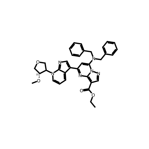 CCOC(=O)c1cnn2c(N(Cc3ccccc3)Cc3ccccc3)cc(-c3cnc4n(C5COC[C@H]5OC)cccc3-4)nc12